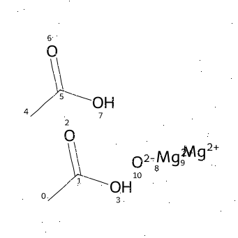 CC(=O)O.CC(=O)O.[Mg+2].[Mg+2].[O-2]